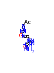 CC(=O)CCCN1CCN(c2ncc(C(=O)N3CCc4cc(Cn5nc(-c6ccc7oc(N)nc7c6)c6c(N)ncnc65)ccc4C3)cn2)CC1